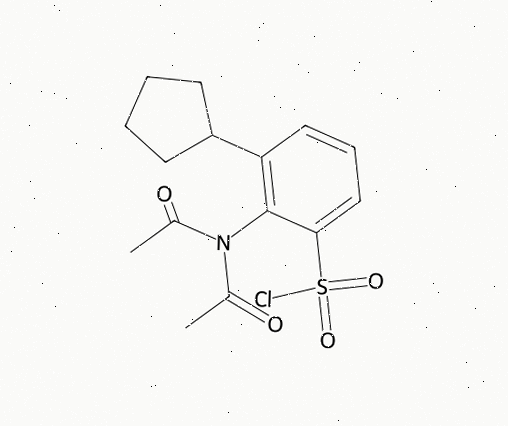 CC(=O)N(C(C)=O)c1c(C2CCCC2)cccc1S(=O)(=O)Cl